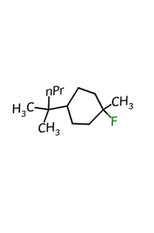 CCCC(C)(C)C1CCC(C)(F)CC1